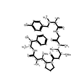 CC[C@H](C)[C@@H]([C@@H](CC(=O)N1CCC[C@H]1[C@H](OC)[C@@H](C)C(=O)N[C@H](C)[C@@H](N=O)c1ccccc1)OC)N(C)C(=O)CNC(=O)[C@H](C(C)C)N(C)Cc1ccc(N=O)cc1